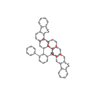 c1ccc(-c2ccccc2-c2c(-c3ccccc3)cccc2N(c2cccc(-c3cccc4c3sc3ccccc34)c2)c2ccc3sc4ccccc4c3c2)cc1